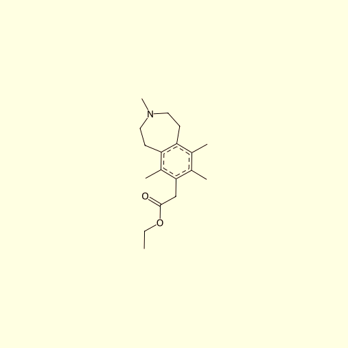 CCOC(=O)Cc1c(C)c(C)c2c(c1C)CCN(C)CC2